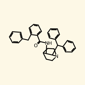 O=C(NC1C2CCN(CC2)C1C(c1ccccc1)c1ccccc1)c1ccccc1Cc1ccccc1